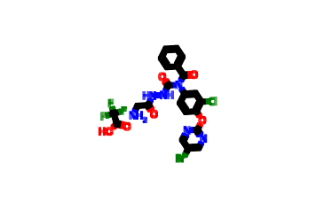 NCC(=O)NNC(=O)N(C(=O)c1ccccc1)c1ccc(Oc2ncc(Br)cn2)c(Cl)c1.O=C(O)C(F)(F)F